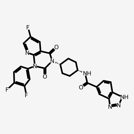 O=C(N[C@H]1CC[C@@H](n2c(=O)c3cc(F)cnc3n(-c3ccc(F)c(F)c3)c2=O)CC1)c1ccc2[nH]nnc2c1